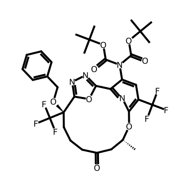 C[C@@H]1CC(=O)CCC[C@](OCc2ccccc2)(C(F)(F)F)c2nnc(o2)-c2nc(c(C(F)(F)F)cc2N(C(=O)OC(C)(C)C)C(=O)OC(C)(C)C)O1